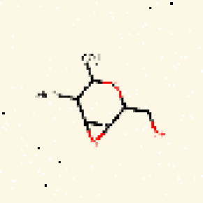 COC1C(C(=O)O)OC(CO)C2OC21